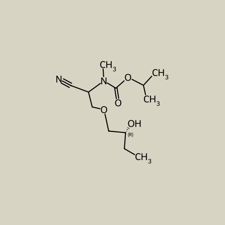 CC[C@@H](O)COCC(C#N)N(C)C(=O)OC(C)C